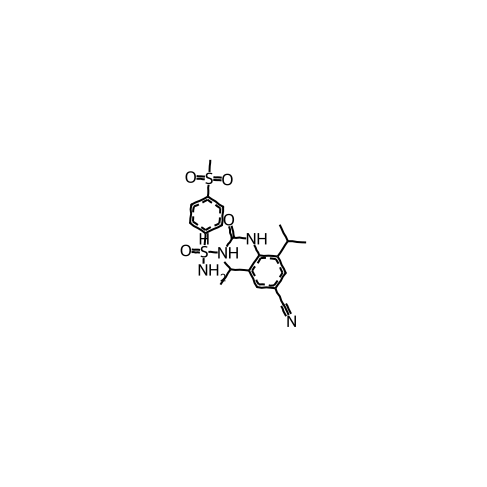 CC(C)c1cc(C#N)cc(C(C)C)c1NC(=O)N[SH](N)(=O)c1ccc(S(C)(=O)=O)cc1